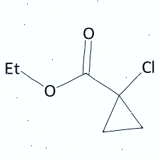 CCOC(=O)C1(Cl)CC1